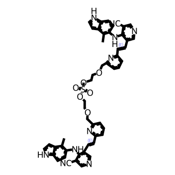 Cc1c(Nc2c(C#N)cncc2/C=C/c2cccc(COCCOS(=O)(=O)OCCOCc3cccc(/C=C/c4cncc(C#N)c4Nc4ccc5[nH]ccc5c4C)n3)n2)ccc2[nH]ccc12